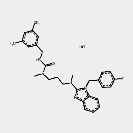 CN(CCCN(C)c1nc2ccccc2n1Cc1ccc(F)cc1)C(=O)NCc1cc(C(F)(F)F)cc(C(F)(F)F)c1.Cl